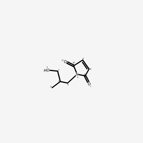 CC(CO)CN1C(=O)C=CC1=O